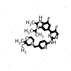 CC(C)N1c2cc(-c3nc(Nc4ccc(CN5CCOC(C)(C)C5)cn4)ncc3F)cc(F)c2NC1C